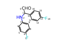 O=CC(Nc1ccc(F)cc1)c1ccc(F)cc1